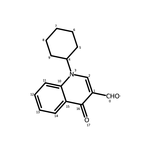 O=[C]c1cn(C2CCCCC2)c2ccccc2c1=O